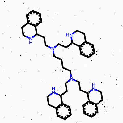 c1ccc2c(c1)CCNC2CCN(CCCCN(CCC1NCCc2ccccc21)CCC1NCCc2ccccc21)CCC1NCCc2ccccc21